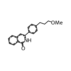 COCCCc1ccc(-c2cc3ccccc3c(=O)[nH]2)cc1